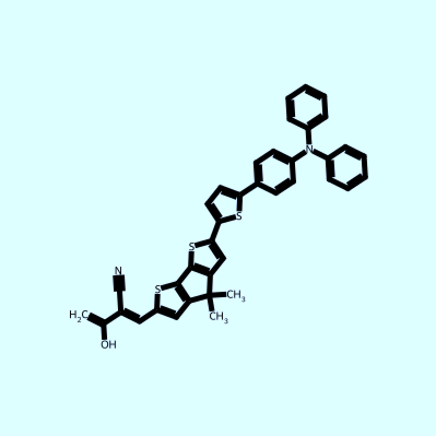 C=C(O)/C(C#N)=C/c1cc2c(s1)-c1sc(-c3ccc(-c4ccc(N(c5ccccc5)c5ccccc5)cc4)s3)cc1C2(C)C